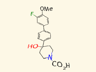 COc1ccc(-c2ccc(C3(O)CCN(C(=O)O)CC3)cc2)cc1F